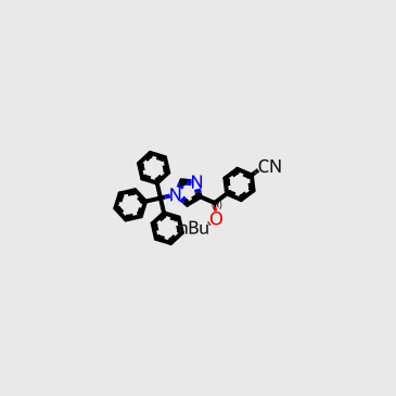 CCCCO[C@H](c1ccc(C#N)cc1)c1cn(C(c2ccccc2)(c2ccccc2)c2ccccc2)cn1